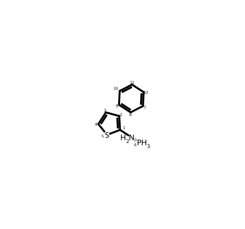 Nc1cccs1.P.c1ccccc1